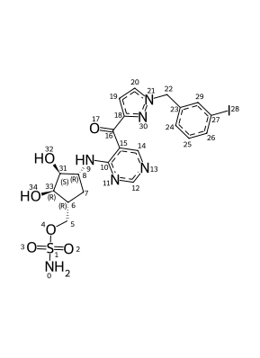 NS(=O)(=O)OC[C@H]1C[C@@H](Nc2ncncc2C(=O)c2ccn(Cc3cccc(I)c3)n2)[C@H](O)[C@@H]1O